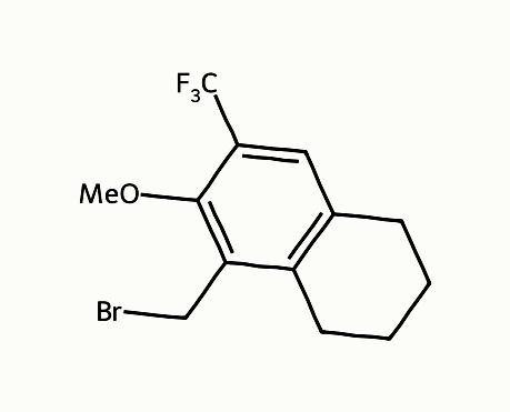 COc1c(C(F)(F)F)cc2c(c1CBr)CCCC2